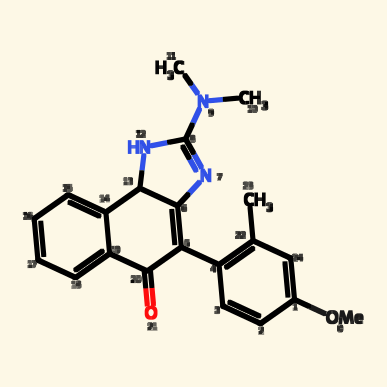 COc1ccc(C2=C3N=C(N(C)C)NC3c3ccccc3C2=O)c(C)c1